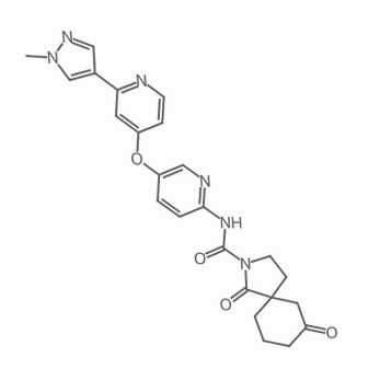 Cn1cc(-c2cc(Oc3ccc(NC(=O)N4CCC5(CCCC(=O)C5)C4=O)nc3)ccn2)cn1